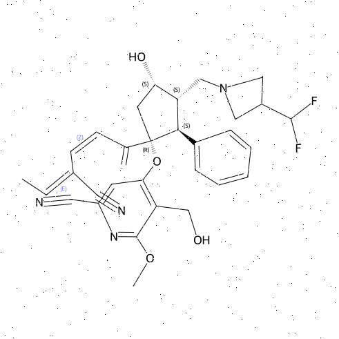 C=C(/C=C\C(C#N)=C/C)[C@@]1(Oc2cc(C#N)nc(OC)c2CO)C[C@H](O)[C@H](CN2CC(C(F)F)C2)[C@H]1c1ccccc1